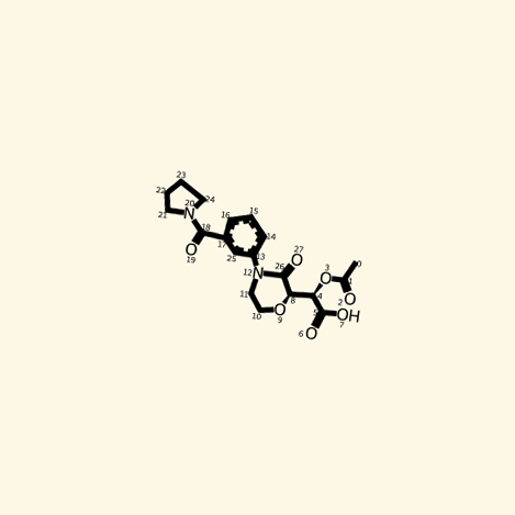 CC(=O)O[C@@H](C(=O)O)[C@H]1OCCN(c2cccc(C(=O)N3CCCC3)c2)C1=O